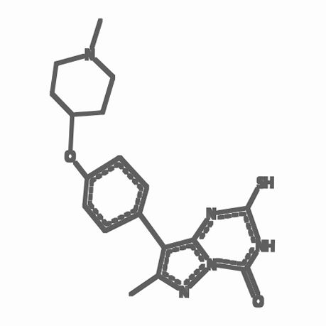 Cc1nn2c(=O)[nH]c(S)nc2c1-c1ccc(OC2CCN(C)CC2)cc1